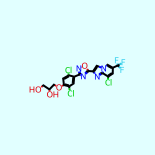 OCC(O)COc1cc(Cl)c(-c2noc(-c3cn4cc(C(F)(F)F)cc(Cl)c4n3)n2)cc1Cl